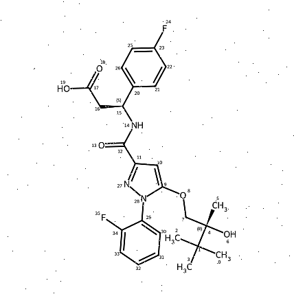 CC(C)(C)[C@@](C)(O)COc1cc(C(=O)N[C@@H](CC(=O)O)c2ccc(F)cc2)nn1-c1ccccc1F